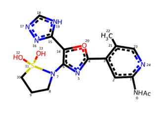 CC(=O)Nc1cc(-c2nc(N3CCCS3(O)O)c(-c3nnc[nH]3)o2)c(C)cn1